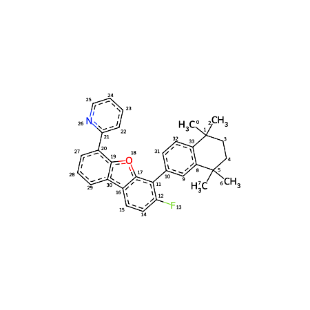 CC1(C)CCC(C)(C)c2cc(-c3c(F)ccc4c3oc3c(-c5ccccn5)cccc34)ccc21